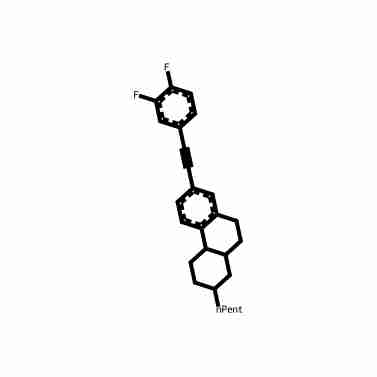 CCCCCC1CCC2c3ccc(C#Cc4ccc(F)c(F)c4)cc3CCC2C1